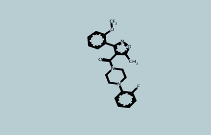 Cc1onc(-c2ccccc2OC(F)(F)F)c1C(=O)N1CCN(c2ccccc2F)CC1